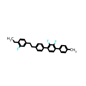 CCc1ccc(CCc2ccc(-c3ccc(-c4ccc(C)cc4)c(F)c3F)cc2)cc1F